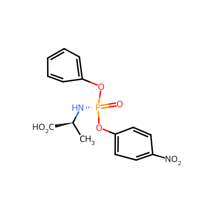 C[C@H](N[P@@](=O)(Oc1ccccc1)Oc1ccc([N+](=O)[O-])cc1)C(=O)O